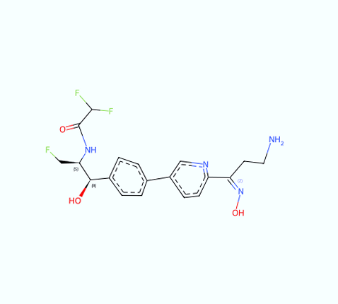 NCC/C(=N/O)c1ccc(-c2ccc([C@@H](O)[C@@H](CF)NC(=O)C(F)F)cc2)cn1